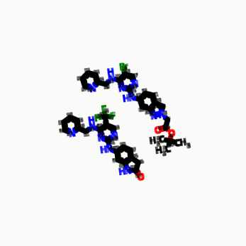 CC(C)(C)OC(=O)Cn1cc2ccc(Nc3ncc(Br)c(NCc4ccccn4)n3)cc2n1.O=C1Cc2ccc(Nc3ncc(C(F)(F)F)c(NCc4ccccn4)n3)cc2N1